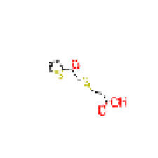 O=C(O)CCSCC(=O)c1cccs1